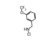 FC(F)(F)Oc1cccc(CNCl)c1